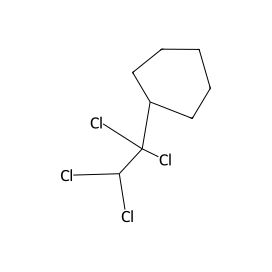 ClC(Cl)C(Cl)(Cl)C1CCCCC1